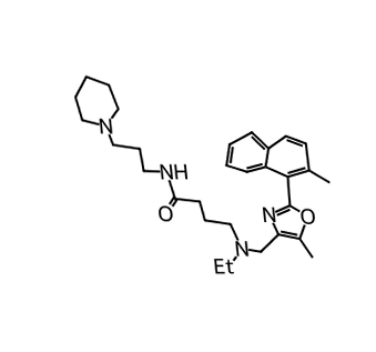 CCN(CCCC(=O)NCCCN1CCCCC1)Cc1nc(-c2c(C)ccc3ccccc23)oc1C